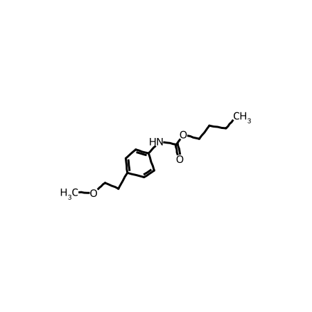 CCCCOC(=O)Nc1ccc(CCOC)cc1